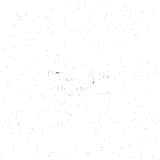 C[C@H](NC(=O)[C@@H](N)CS)C(=O)N[C@@H](CS)C(N)=O